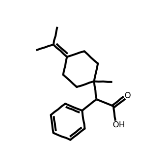 CC(C)=C1CCC(C)(C(C(=O)O)c2ccccc2)CC1